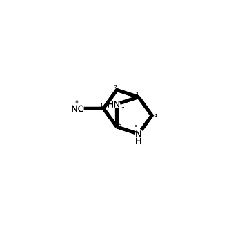 N#CC1CC2CNC1N2